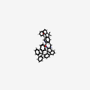 CC1(C)c2ccccc2-c2ccc(\C=C3/C(=C\C=C\Nc4ccccc4)C4(c5ccccc53)c3ccccc3C(c3ccccc3)(c3ccccc3)c3ccccc34)cc21